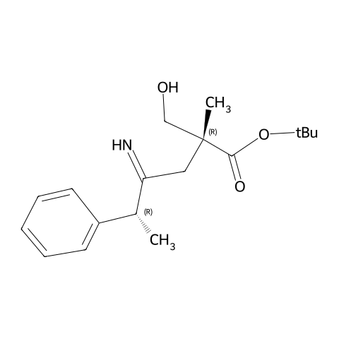 C[C@@H](C(=N)C[C@](C)(CO)C(=O)OC(C)(C)C)c1ccccc1